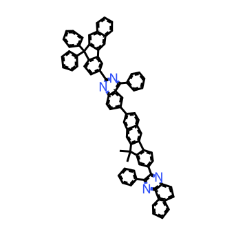 CC1(C)c2cc(-c3nc4ccc5ccccc5c4nc3-c3ccccc3)ccc2-c2cc3ccc(-c4ccc5nc(-c6ccc7c(c6)-c6cc8ccccc8cc6C7(c6ccccc6)c6ccccc6)nc(-c6ccccc6)c5c4)cc3cc21